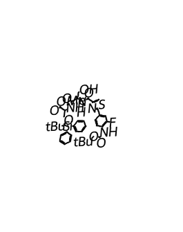 COC(=O)C(CO[Si](c1ccccc1)(c1ccccc1)C(C)(C)C)NC(=O)C(CO)NC(=O)c1csc(-c2ccc(NC(=O)OC(C)(C)C)c(F)c2)n1